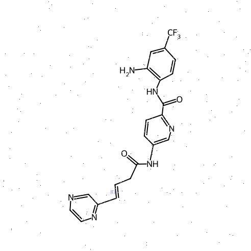 Nc1cc(C(F)(F)F)ccc1NC(=O)c1ccc(NC(=O)C/C=C/c2cnccn2)cn1